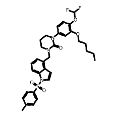 CCCCCOc1cc(N2CCCN(Cc3cccc4c3ccn4S(=O)(=O)c3ccc(C)cc3)C2=O)ccc1OC(F)F